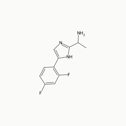 CC(N)c1ncc(-c2ccc(F)cc2F)[nH]1